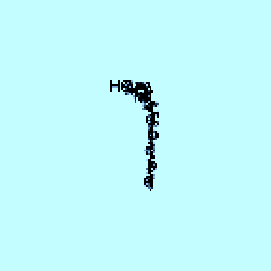 COCCOCCOCCOCCOCC1CN(c2nccc(CO)n2)C1